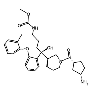 COC(=O)NCCC[C@@](O)(c1ccccc1Oc1ccccc1C)[C@@H]1CCCN(C(=O)[C@@H]2CC[C@H](N)C2)C1